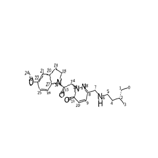 CCC(C)CCNCc1ccc(=O)n(CC(=O)N2CCC3C=C(OC)C=CC32)n1